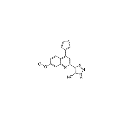 N#Cc1[nH]nnc1-c1cc(-c2ccsc2)c2ccc(OCl)cc2n1